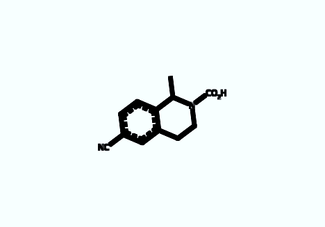 CC1c2ccc(C#N)cc2CCN1C(=O)O